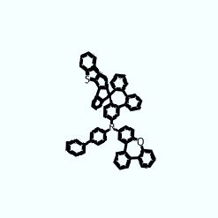 c1ccc(-c2ccc(N(c3ccc4c(c3)-c3ccccc3-c3ccccc3O4)c3ccc4c(c3)-c3ccccc3-c3ccccc3C43c4ccccc4-c4c3ccc3c4sc4ccccc43)cc2)cc1